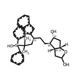 CC(C)(C[C@H](CC[C@@H]1[C@H]2CC(O)O[C@H]2C[C@H]1O)c1cc2ccccc2s1)[Si](O)(c1ccccc1)c1ccccc1